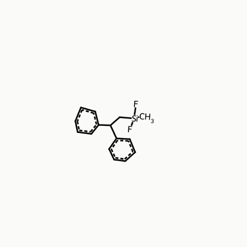 C[Si](F)(F)CC(c1ccccc1)c1ccccc1